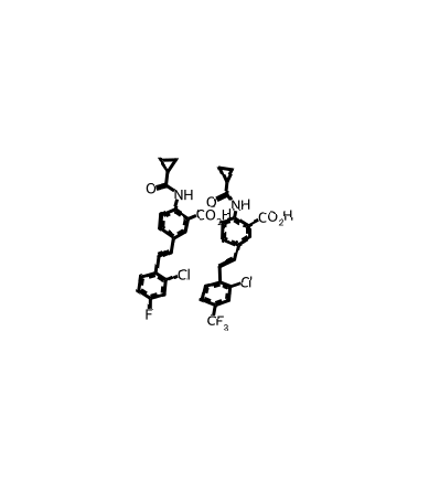 O=C(O)c1cc(C=Cc2ccc(C(F)(F)F)cc2Cl)ccc1NC(=O)C1CC1.O=C(O)c1cc(C=Cc2ccc(F)cc2Cl)ccc1NC(=O)C1CC1